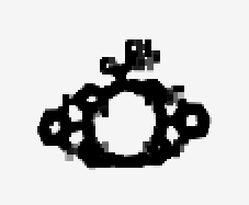 CNC(=O)c1c2nc(c(-c3c(F)cccc3F)c3ccc(cc4nc(c(-c5c(F)cccc5F)c5ccc1[nH]5)C=C4)[nH]3)CC2